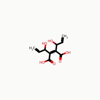 C=CC(O)/C(C(=O)O)=C(/C(=O)O)C(O)C=C